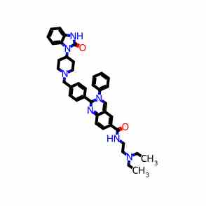 CCN(CC)CCNC(=O)c1ccc2c(c1)=CN(c1ccccc1)C(c1ccc(CN3CCC(n4c(=O)[nH]c5ccccc54)CC3)cc1)N=2